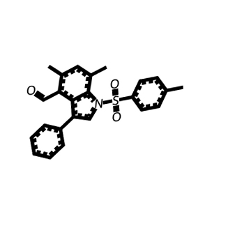 Cc1ccc(S(=O)(=O)n2cc(-c3ccccc3)c3c(C=O)c(C)cc(C)c32)cc1